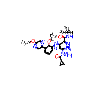 [2H]C([2H])([2H])NC(=O)c1nnc(NC(=O)C2CC2)cc1Nc1cccc(-c2cnc(OC)cn2)c1OC